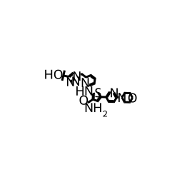 CC(C)(O)c1cn(Cc2cccc(Nc3sc(-c4ccc(N5CCOCC5)nc4)cc3C(N)=O)n2)nn1